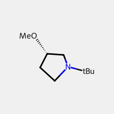 CO[C@H]1CCN(C(C)(C)C)C1